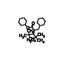 CC(C)(C)C(=C(CC1CCCCC1)C(=O)OC1CCCCC1)C(C)(C)C